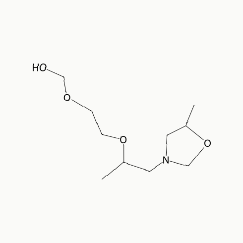 CC(CN1COC(C)C1)OCCOCO